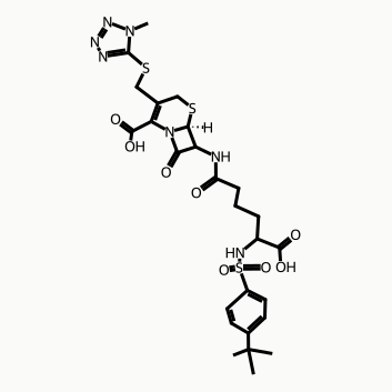 Cn1nnnc1SCC1=C(C(=O)O)N2C(=O)C(NC(=O)CCCC(NS(=O)(=O)c3ccc(C(C)(C)C)cc3)C(=O)O)[C@@H]2SC1